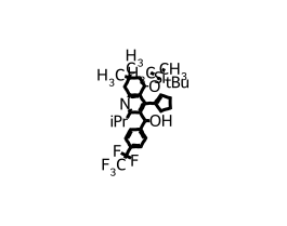 CC(C)c1nc2c(c(C3=CCCC3)c1C(O)c1ccc(C(F)(F)C(F)(F)F)cc1)[C@@H](O[Si](C)(C)C(C)(C)C)CC(C)(C)C2